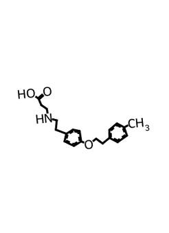 Cc1ccc(CCOc2ccc(CCNCCC(=O)O)cc2)cc1